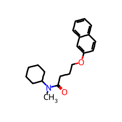 CN(C(=O)CCCOc1ccc2ccccc2c1)C1CCCCC1